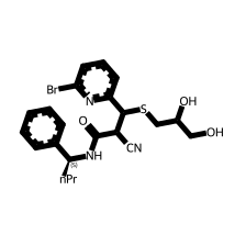 CCC[C@H](NC(=O)C(C#N)C(SCC(O)CO)c1cccc(Br)n1)c1ccccc1